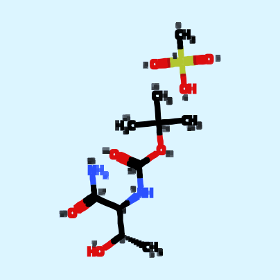 CS(=O)(=O)O.C[C@H](O)[C@H](NC(=O)OC(C)(C)C)C(N)=O